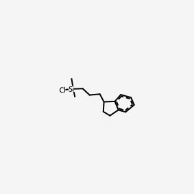 C[Si](C)(Cl)CCCC1CCc2ccccc21